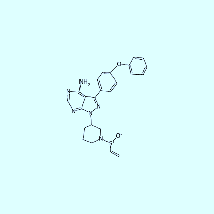 C=C[S+]([O-])N1CCCC(n2nc(-c3ccc(Oc4ccccc4)cc3)c3c(N)ncnc32)C1